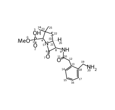 COP(=O)(O)C1N2C(=O)C(NC(=O)Cc3ccccc3CN)[C@@H]2SC1(C)C